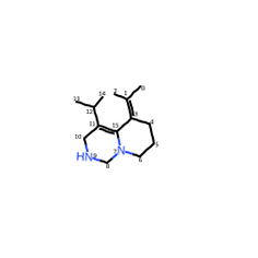 CC(C)=C1CCCN2CNCC(C(C)C)=C12